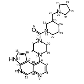 O=C(N1CCN(c2ccnc3cnc4[nH]ccc4c23)CC1)N1CCCC(CN2CCCC2)C1